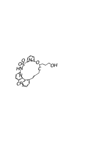 O=S1(=O)Nc2ccc(C(F)(F)F)c(n2)-c2ccccc2/C=C/CCC(CCCO)Oc2cccc1n2